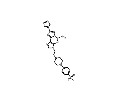 CS(=O)(=O)c1ccc(N2CCN(CCn3cnc4c3nc(N)n3nc(-c5ccco5)nc43)CC2)cc1